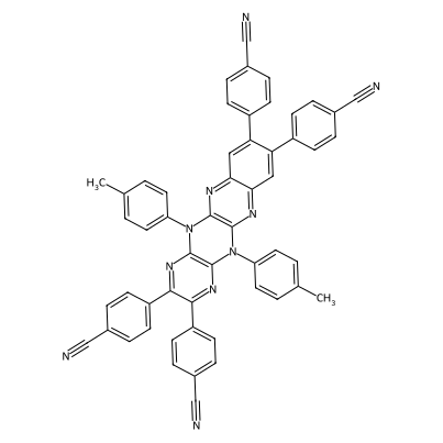 Cc1ccc(N2c3nc(-c4ccc(C#N)cc4)c(-c4ccc(C#N)cc4)nc3N(c3ccc(C)cc3)c3nc4cc(-c5ccc(C#N)cc5)c(-c5ccc(C#N)cc5)cc4nc32)cc1